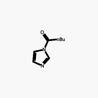 CCCCC(=O)n1ccnc1